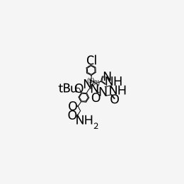 CC(C)(C)Oc1cc(C(=O)CC(N)=O)ccc1C1=N[C@@H](c2ccc(Cl)cc2)[C@@H](c2cn[nH]c2)N1C(=O)N1CCNC(=O)C1